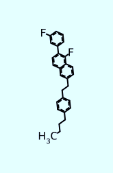 CCCCc1ccc(CCc2ccc3c(F)c(-c4cccc(F)c4)ccc3c2)cc1